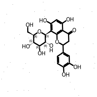 O=C1CC(c2ccc(O)c(O)c2)Oc2c1c(O)cc(O)c2[C@@H]1O[C@H](CO)[C@@H](O)[C@H](O)[C@H]1O